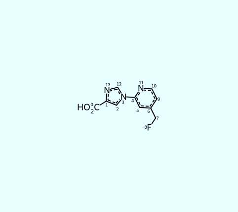 O=C(O)c1cn(-c2cc(CF)ccn2)cn1